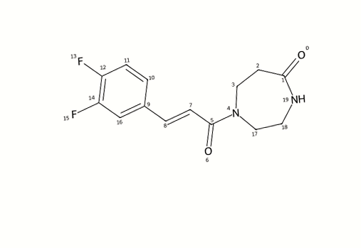 O=C1CCN(C(=O)/C=C/c2ccc(F)c(F)c2)CCN1